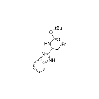 CC(C)C[C@H](NC(=O)OC(C)(C)C)c1nc2ccccc2[nH]1